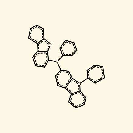 c1ccc(N(c2ccc3c4ccccc4n(-c4ccccc4)c3c2)c2cccc3c2sc2ccccc23)cc1